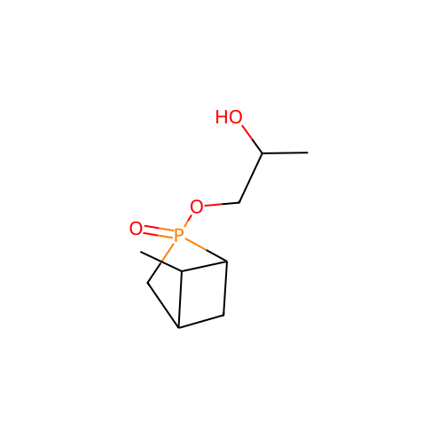 CC(O)COP1(=O)CC2CC1C2C